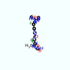 Cn1nc(N2CCC(=O)NC2=O)c2cnc(C3CCN(CC(=O)N4CCN(c5ccc(-c6cc(F)c7cn(C(C(=O)Nc8nccs8)c8ncn9c8CCC9)nc7c6)cc5)CC4)CC3(F)F)cc21